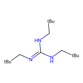 CC(C)(C)CN=C(NCC(C)(C)C)NCC(C)(C)C